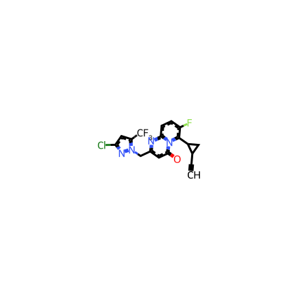 C#CC1CC1c1c(F)ccc2nc(Cn3nc(Cl)cc3C(F)(F)F)cc(=O)n12